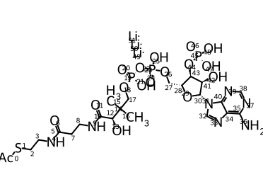 CC(=O)SCCNC(=O)CCNC(=O)[C@H](O)C(C)(C)COP(=O)(O)OP(=O)(O)OC[C@H]1O[C@@H](n2cnc3c(N)ncnc32)[C@H](O)[C@@H]1OP(=O)(O)O.[Li].[Li].[Li]